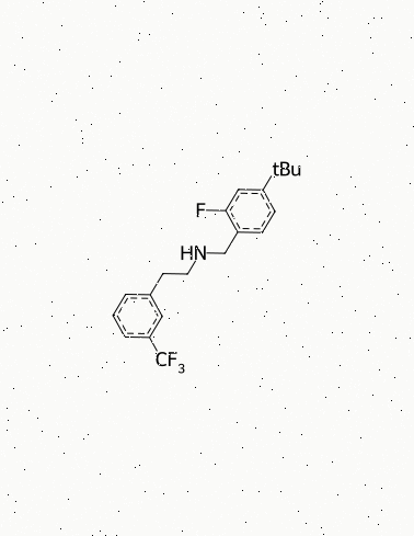 CC(C)(C)c1ccc(CNCCc2cccc(C(F)(F)F)c2)c(F)c1